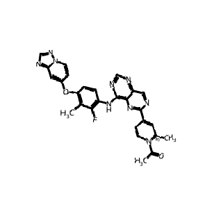 CC(=O)N1CCC(c2ncc3ncnc(Nc4ccc(Oc5ccn6ncnc6c5)c(C)c4F)c3n2)=C[C@H]1C